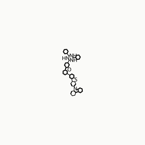 C1=Cc2c(c3ccccc3n2C2=CC3Sc4ccc(-c5cccc6c5oc5cc(C7NC(c8ccccc8)NC(c8ccccc8)N7)ccc56)cc4C3C=C2)CC1